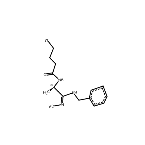 C[C@@H](NC(=O)CCCCl)C(=NO)NCc1ccccc1